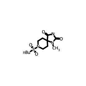 CCCCS(=O)(=O)N1CCC2(CC1)C(=O)[N]C(=O)N2C